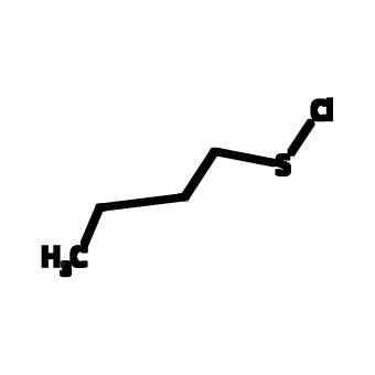 CCCCSCl